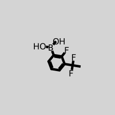 CC(F)(F)c1cccc(B(O)O)c1F